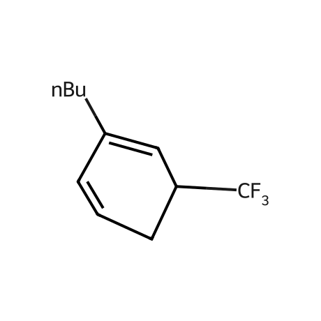 CCCCC1=CC(C(F)(F)F)CC=C1